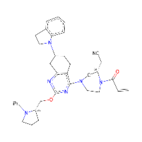 C=CC(=O)N1CCN(c2nc(OC[C@@H]3CCCN3C(C)C)nc3c2CCC(N2CCc4ccccc42)C3)C[C@@H]1CC#N